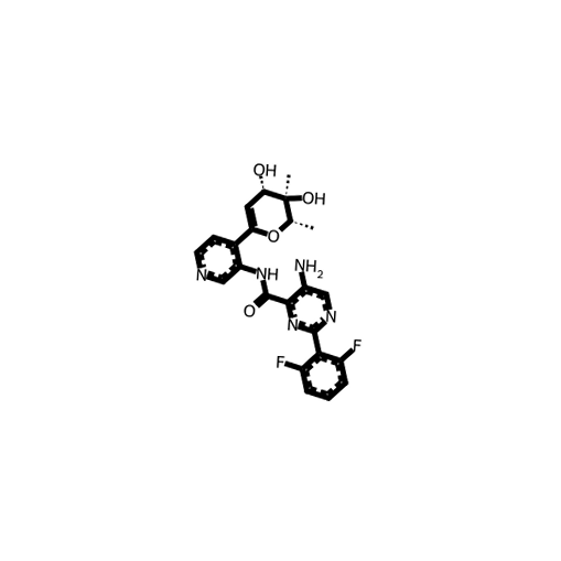 C[C@@H]1OC(c2ccncc2NC(=O)c2nc(-c3c(F)cccc3F)ncc2N)=C[C@H](O)[C@@]1(C)O